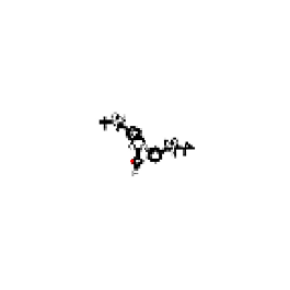 CC(C)(C)c1nc(C23CCC(CN(C(=O)C45CC(F)(C4)C5)c4cccc(-c5noc(C6(C)CC6)n5)c4)(CC2)CC3)no1